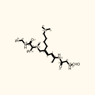 C/C(=C\C=C(/CCCCN(C)C)CN(C)C(C(=O)NCC(C)C)C(C)C)NC(=O)CNC=O